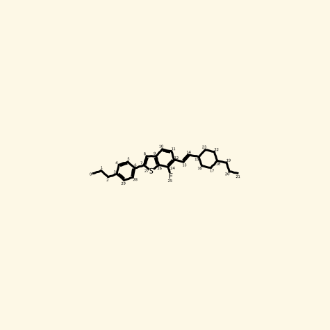 CCCc1ccc(-c2cc3ccc(/C=C/C4CCC(CCC)CC4)c(F)c3s2)cc1